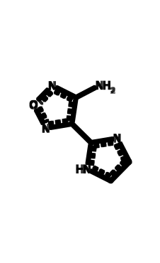 Nc1nonc1-c1ncc[nH]1